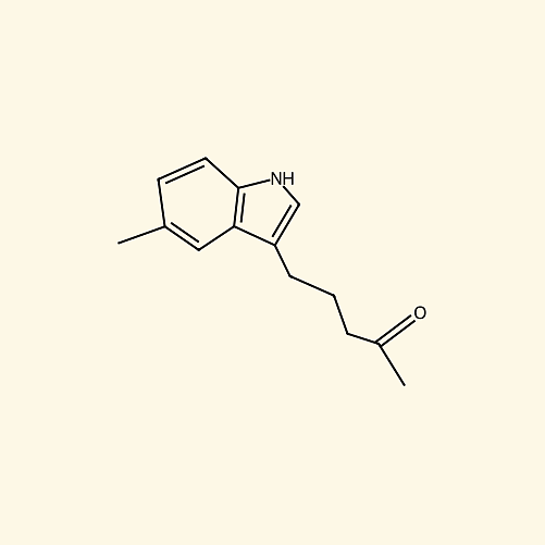 CC(=O)CCCc1c[nH]c2ccc(C)cc12